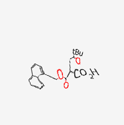 CC(C)(C)C(=O)CC(C(=O)O)C(=O)OCc1cccc2ccccc12